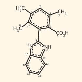 Cc1cc(C)c(C(=O)O)c(-c2nc3ccccc3[nH]2)c1C